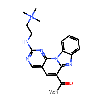 CNC(=O)c1cc2cnc(NCC[N+](C)(C)C)nc2n2c1nc1ccccc12